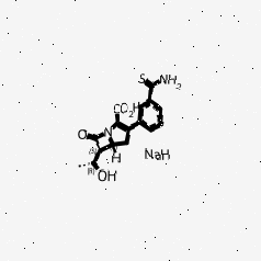 C[C@@H](O)[C@H]1C(=O)N2C(C(=O)O)=C(c3cccc(C(N)=S)c3)C[C@H]12.[NaH]